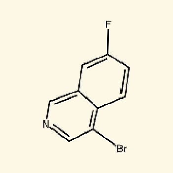 Fc1ccc2c(Br)cncc2c1